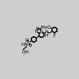 COc1cccc(F)c1CNc1ccc(-c2ccc(S(=O)(=O)NCCO)cc2)c2nncn12